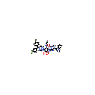 C=CC(=O)Nc1cc(Nc2cc(-c3cn(C)c4ccccc34)ncn2)c(O)cc1N1CCN(C(c2ccc(F)cc2)c2ccc(F)cc2)CC1